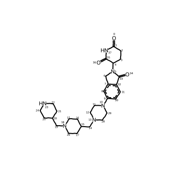 O=C1CCC(N2Cc3cc(N4CCN(CC5CCN(CC6CCNCC6)CC5)CC4)ccc3C2=O)C(=O)N1